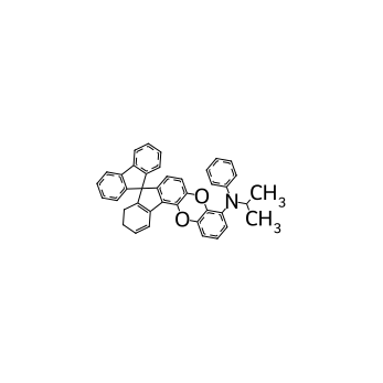 CC(C)N(c1ccccc1)c1cccc2c1Oc1ccc3c(c1O2)C1=C(CCC=C1)C31c2ccccc2-c2ccccc21